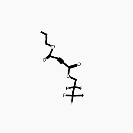 CCCOC(=O)C#CC(=O)OCC(F)(F)C(F)(F)F